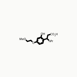 CCCC(CC(=O)O)c1ccc(OCCOC)cc1O